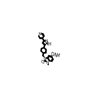 COc1ccc2c(c1)n(CC1CCC(c3cc(-c4ccncc4)n[nH]3)CC1)c(=O)n2C